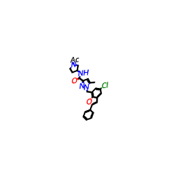 CC(=O)N1CCC(NC(=O)c2cc(C)n(Cc3cc(Cl)cc4cc(-c5ccccc5)oc34)n2)C1